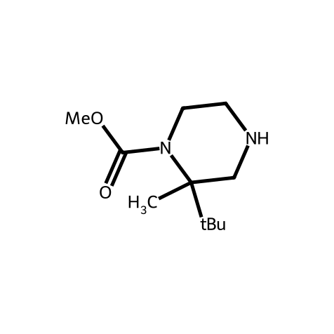 COC(=O)N1CCNCC1(C)C(C)(C)C